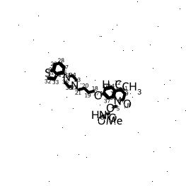 CONC(=O)OCN1C(=O)CC(C)(C)c2ccc(OCCCCN3CCN(c4cccc5sccc45)CC3)cc21